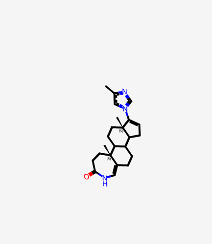 Cc1cn(C2=CCC3C4CCC5=CNC(=O)CC[C@]5(C)C4CC[C@]23C)cn1